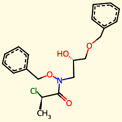 C[C@@H](Cl)C(=O)N(C[C@H](O)COCc1ccccc1)OCc1ccccc1